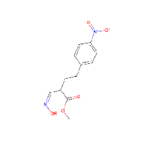 COC(=O)C(/C=N\O)CCc1ccc([N+](=O)[O-])cc1